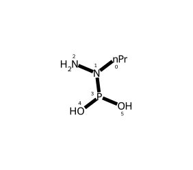 CCCN(N)P(O)O